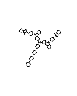 c1ccc(-c2ccc(-c3ccc(-c4ccc(N(c5ccc6c(c5)c5ccccc5n6-c5ccc(-c6nc7ccccc7s6)cc5)c5ccc6c(c5)c5ccccc5n6-c5ccc(-c6nc7ccccc7s6)cc5)cc4)cc3)cc2)cc1